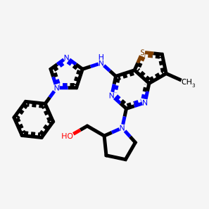 Cc1csc2c(Nc3cn(-c4ccccc4)cn3)nc(N3CCCC3CO)nc12